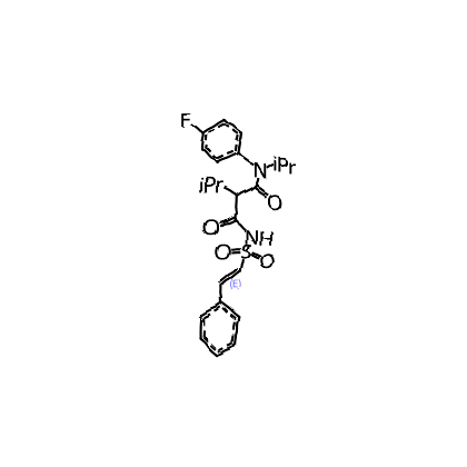 CC(C)C(C(=O)NS(=O)(=O)/C=C/c1ccccc1)C(=O)N(c1ccc(F)cc1)C(C)C